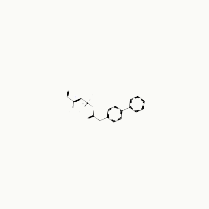 C=C/C(C)=C/[C@@](C)(SC(=O)Cc1ccc(-c2ccccc2)cc1)C(C)=O